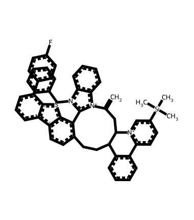 C=C1CC2C(CCc3ccc4c(sc5c(-c6ccc(F)cc6)cccc54)c3-c3n(Cc4ccccc4)c4ccccc4[n+]31)c1ccccc1-c1ccc([Si](C)(C)C)c[n+]12